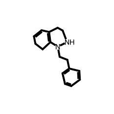 C1=CC2=C(CC1)N(CCc1ccccc1)NCC2